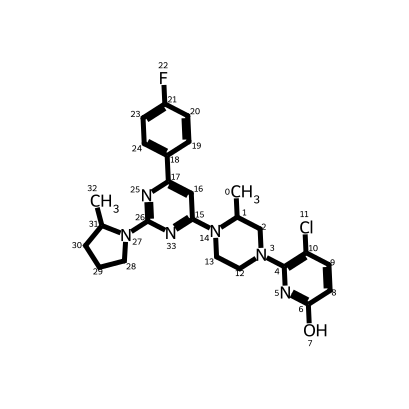 CC1CN(c2nc(O)ccc2Cl)CCN1c1cc(-c2ccc(F)cc2)nc(N2CCCC2C)n1